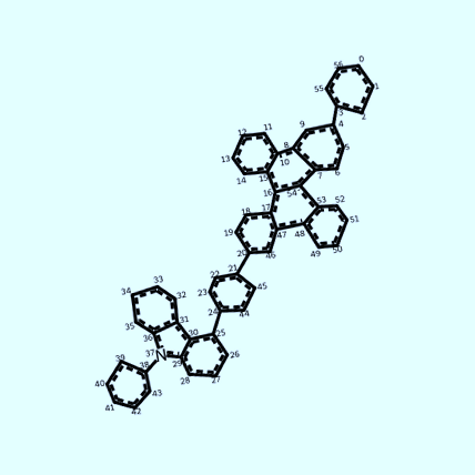 c1ccc(-c2ccc3c(c2)c2ccccc2c2c4ccc(-c5ccc(-c6cccc7c6c6ccccc6n7-c6ccccc6)cc5)cc4c4ccccc4c32)cc1